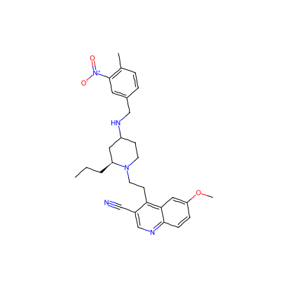 CCC[C@H]1CC(NCc2ccc(C)c([N+](=O)[O-])c2)CCN1CCc1c(C#N)cnc2ccc(OC)cc12